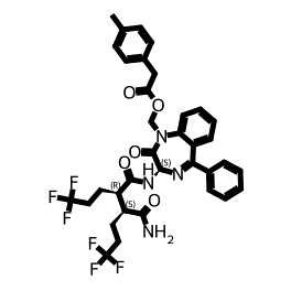 Cc1ccc(CC(=O)OCN2C(=O)[C@@H](NC(=O)[C@H](CCC(F)(F)F)[C@H](CCC(F)(F)F)C(N)=O)N=C(c3ccccc3)c3ccccc32)cc1